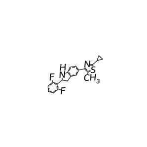 Cc1sc(C2CC2)nc1-c1ccc2c(c1)CC(c1c(F)cccc1F)N2